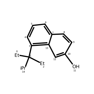 CCC(CC)(c1cccc2ccc(O)cc12)C(C)C